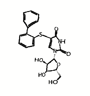 O=c1[nH]c(=O)n([C@@H]2O[C@H](CO)[C@@H](O)[C@H]2O)cc1Sc1ccccc1-c1ccccc1